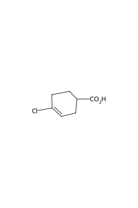 O=C(O)C1CC=C(Cl)CC1